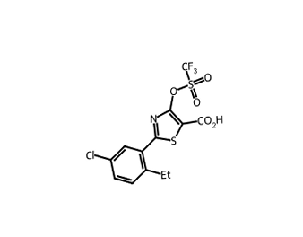 CCc1ccc(Cl)cc1-c1nc(OS(=O)(=O)C(F)(F)F)c(C(=O)O)s1